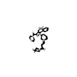 O=C(CCN1CCC[C@H](n2nc(C(=O)N3CCOCC3)c3c2-c2ccccc2S(=O)(=O)C3)C1)N1CC(F)(F)C1